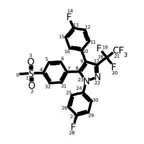 CS(=O)(=O)c1ccc(-c2c(-c3ccc(F)cc3)c(C(F)(F)C(F)(F)F)nn2-c2ccc(F)cc2)cc1